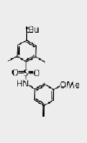 COc1cc(C)cc(NS(=O)(=O)c2c(C)cc(C(C)(C)C)cc2C)c1